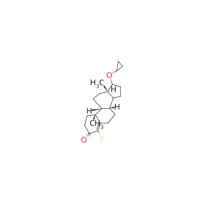 C[C@]12CCC(=O)C(F)=C1CC[C@@H]1[C@H]2CC[C@]2(C)C(OC3CC3)CC[C@@H]12